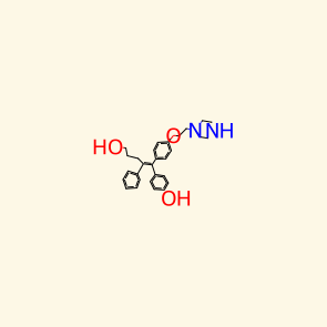 OCCCC(=C(c1ccc(O)cc1)c1ccc(OCCN2CCNCC2)cc1)c1ccccc1